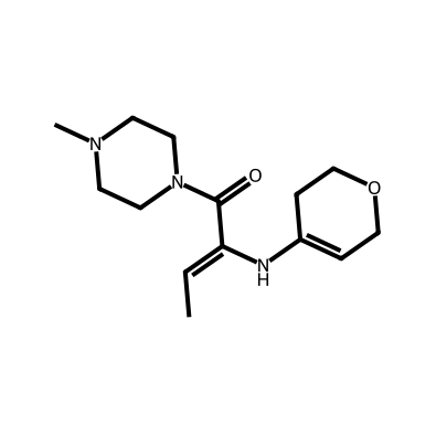 C/C=C(\NC1=CCOCC1)C(=O)N1CCN(C)CC1